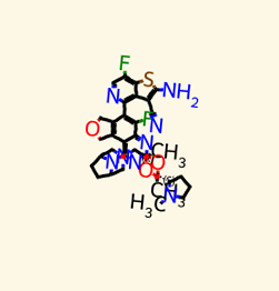 CCO[C@H](C)CN1CC2CCC(C1)N2c1nc(OC[C@@H]2CCCN2C)nc2c(F)c(-c3ncc(F)c4sc(N)c(C#N)c34)c3c(c12)COC3